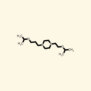 CC(C)OCCCN1CCN(CCOC(C)C)CC1